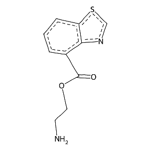 NCCOC(=O)c1cccc2scnc12